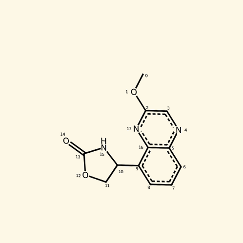 COc1cnc2cccc(C3COC(=O)N3)c2n1